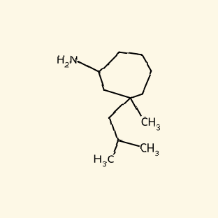 CC(C)CC1(C)CCCCC(N)C1